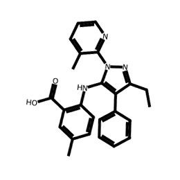 CCc1nn(-c2ncccc2C)c(Nc2ccc(C)cc2C(=O)O)c1-c1ccccc1